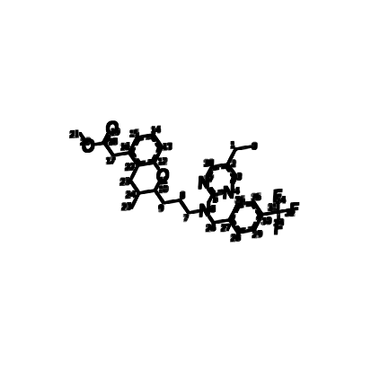 CCc1cnc(N(CCCC2Oc3cccc(CC(=O)OC)c3CC2C)Cc2ccc(C(F)(F)F)cc2)nc1